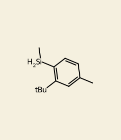 C[SiH2]c1ccc(C)cc1C(C)(C)C